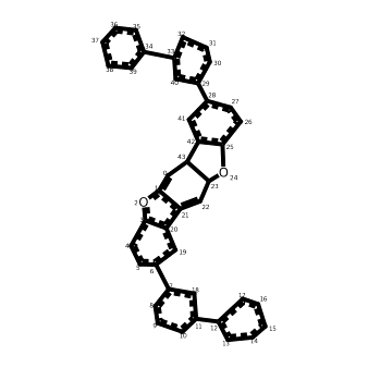 C1=c2oc3ccc(-c4cccc(-c5ccccc5)c4)cc3c2=CC2Oc3ccc(-c4cccc(-c5ccccc5)c4)cc3C12